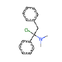 CN(C)C(Cl)(Cc1ccccc1)c1ccccc1